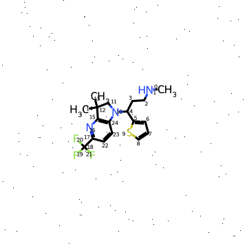 CNCCC(c1cccs1)N1CC(C)(C)c2nc(C(F)(F)F)ccc21